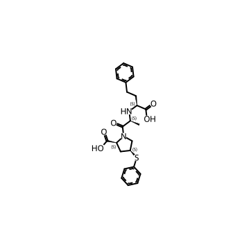 C[C@H](N[C@@H](CCc1ccccc1)C(=O)O)C(=O)N1C[C@@H](Sc2ccccc2)C[C@H]1C(=O)O